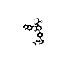 CN(C)Cc1nccn1-c1ccc(N2CCc3c(C(=O)O)nn(-c4ccc5c(c4)CCO5)c3C2=O)cc1